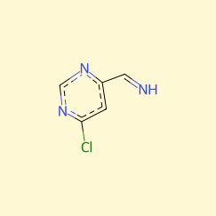 N=Cc1cc(Cl)ncn1